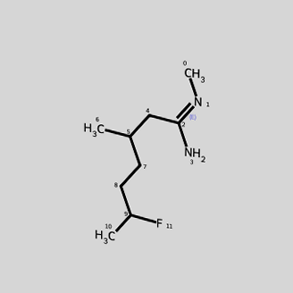 C/N=C(/N)CC(C)CCC(C)F